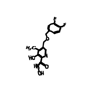 Cc1c(COCc2ccc(F)c(F)c2)cnc(C(=O)NO)c1O